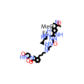 CCn1nc(C2CC2)cc1Nc1nc(C(=O)NCc2cn(CCCCc3cccc4c3CN(C3CCC(=O)NC3=O)C4=O)cn2)nc2[nH]c3cc(-c4c(C)noc4C)c(OC)cc3c12